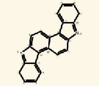 C1=CCC2=Nc3ccc4c5c(ccc4c3C2=C1)N=C1CC=CC=C15